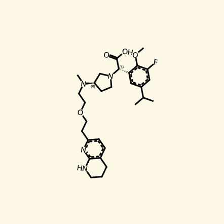 COc1c(F)cc(C(C)C)cc1[C@@H](C(=O)O)N1CC[C@@H](N(C)CCOCCc2ccc3c(n2)NCCC3)C1